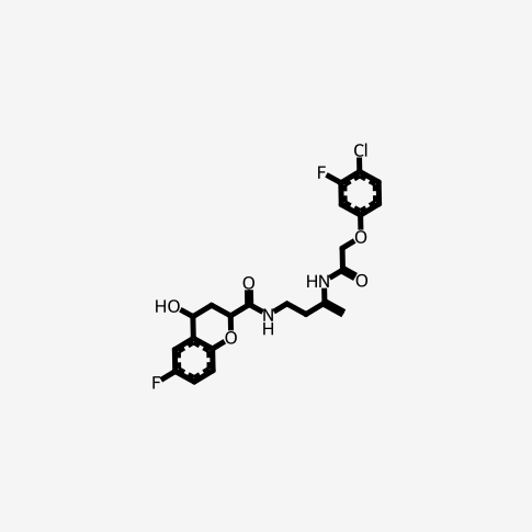 C=C(CCNC(=O)C1CC(O)c2cc(F)ccc2O1)NC(=O)COc1ccc(Cl)c(F)c1